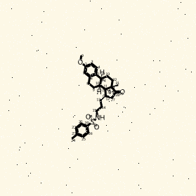 COc1ccc2c(c1)CC[C@H]1[C@@H]3[C@H](CCCNS(=O)(=O)c4ccc(C)cc4)CC(=O)[C@@]3(C)CC[C@H]21